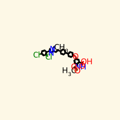 CCn1cc(-c2ccc(Cl)cc2Cl)nc1/C=C/c1ccc(-c2ccc(Oc3ccc(NS(C)(=O)=O)c(C(=O)O)c3)cc2)cc1